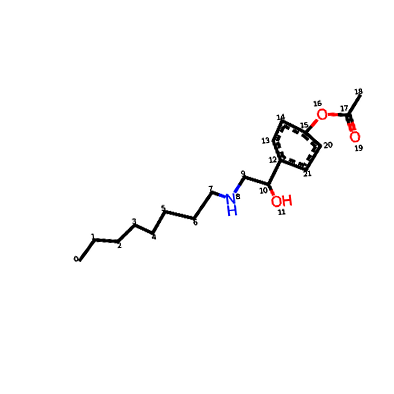 CCCCCCCCNCC(O)c1ccc(OC(C)=O)cc1